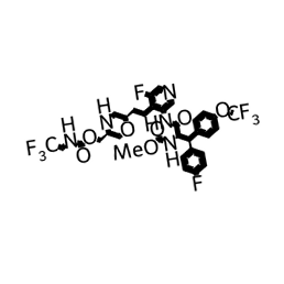 COC(=O)N[C@H](C(=O)Nc1cncc(F)c1CC[C@@H]1CN[C@H](COC(=O)NCC(F)(F)F)CO1)[C@H](c1ccc(F)cc1)c1ccc(OC(F)(F)F)cc1